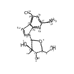 CC1(O)C(O)C(CO)OC1n1cnc2c(Cl)nc(N)nc21